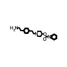 NCCc1ccc(CCN2CCC(OC(=O)N3c4ccccc43)CC2)cc1